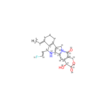 C/C=C1\CCCC2=C1C(/C=C/F)NC1=C2Cn2c1cc1c(c2=O)COC(=O)[C@H]1O